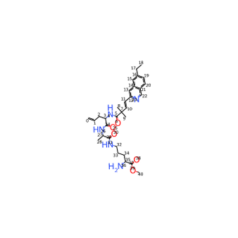 C=CCC(NC(=O)C(C)(C)/C=C/c1cc2cc(CC)ccc2cn1)C(=O)NC(C)C(=O)NCCCC(N)C(=O)OC